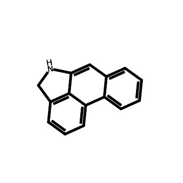 c1ccc2c(c1)cc1c3c(cccc32)CN1